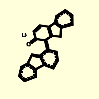 O=C1C=CC2=C(Cc3ccccc32)C1=c1cccc2c1=Cc1ccccc1-2.[Li]